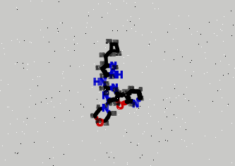 c1cnc2oc3c(N4CCOCC4)nc(Nc4cc(CC5CCC5)n[nH]4)nc3c2c1